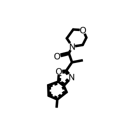 Cc1ccc2oc(C(C)C(=O)N3CCOCC3)nc2c1